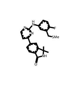 CSCc1cc(Nc2nccc(-c3ccc4c(c3)C(C)(C)NC4=O)n2)ccc1F